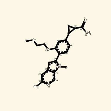 COCCOc1cc(C2CC2C(N)=O)ccc1-c1cc2cc(Cl)ncc2n1C